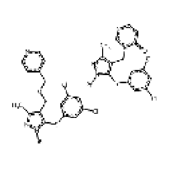 Cc1nn(C(C)C)c(Sc2cc(Cl)cc(Cl)c2)c1COCc1ccncc1.Cc1nn(C(C)C)c(Sc2cc(Cl)cc(Cl)c2)c1Cn1cnccc1=O